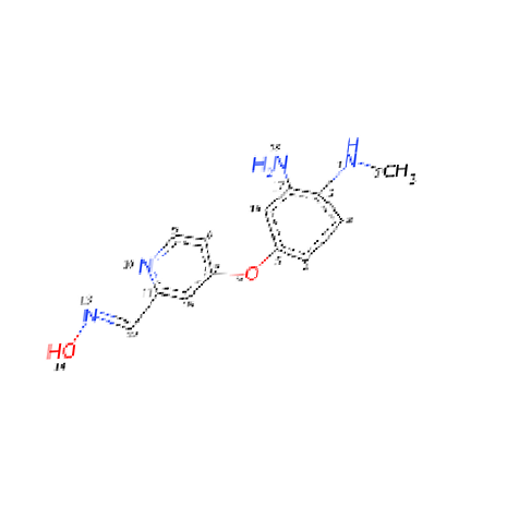 CNc1ccc(Oc2ccnc(C=NO)c2)cc1N